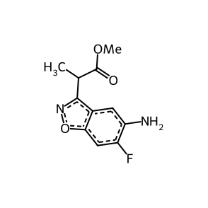 COC(=O)C(C)c1noc2cc(F)c(N)cc12